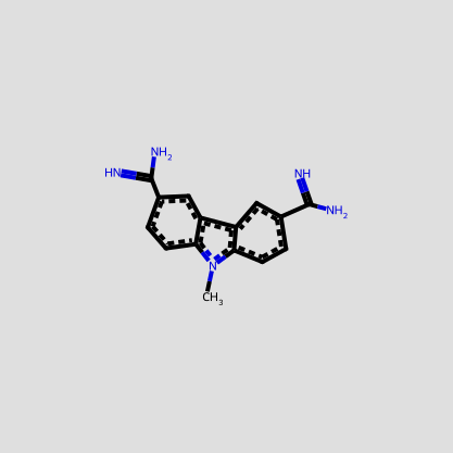 Cn1c2ccc(C(=N)N)cc2c2cc(C(=N)N)ccc21